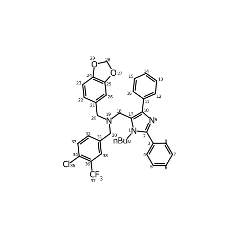 CCCCn1c(-c2ccccc2)nc(-c2ccccc2)c1CN(Cc1ccc2c(c1)OCO2)Cc1ccc(Cl)c(C(F)(F)F)c1